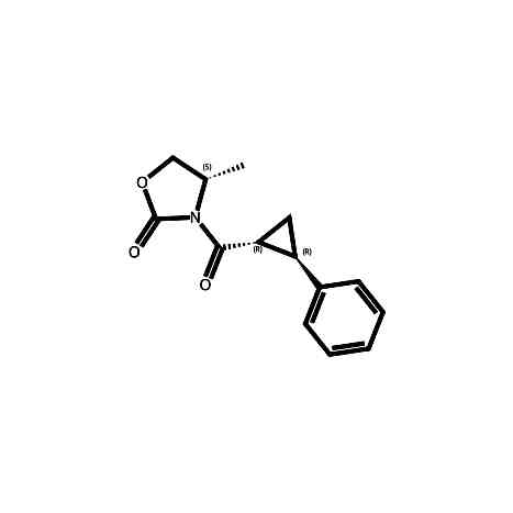 C[C@H]1COC(=O)N1C(=O)[C@@H]1C[C@H]1c1ccccc1